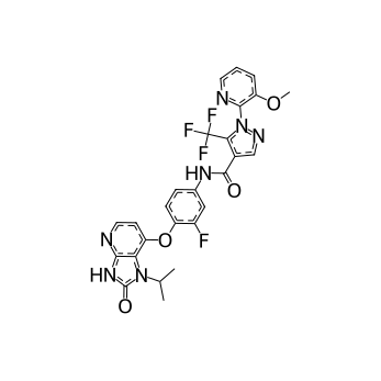 COc1cccnc1-n1ncc(C(=O)Nc2ccc(Oc3ccnc4[nH]c(=O)n(C(C)C)c34)c(F)c2)c1C(F)(F)F